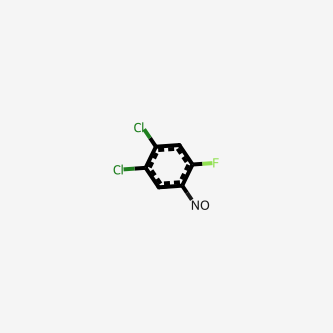 O=Nc1cc(Cl)c(Cl)cc1F